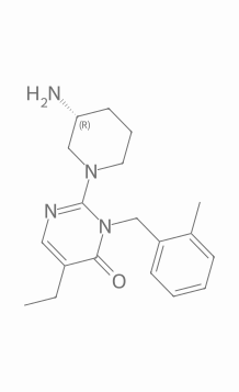 CCc1cnc(N2CCC[C@@H](N)C2)n(Cc2ccccc2C)c1=O